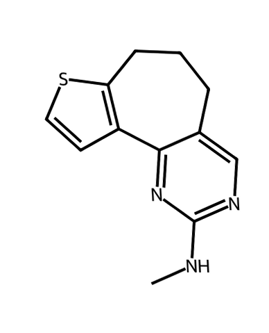 CNc1ncc2c(n1)-c1ccsc1CCC2